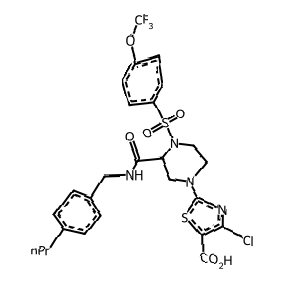 CCCc1ccc(CNC(=O)C2CN(c3nc(Cl)c(C(=O)O)s3)CCN2S(=O)(=O)c2ccc(OC(F)(F)F)cc2)cc1